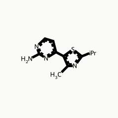 Cc1nc(C(C)C)sc1-c1ccnc(N)n1